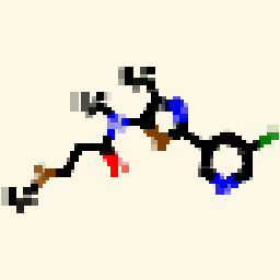 CSCCC(=O)N(C)c1sc(-c2cncc(F)c2)nc1C